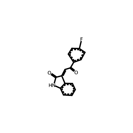 O=C1Nc2ccccc2/C1=C\C(=O)c1ccc(F)cc1